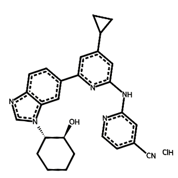 Cl.N#Cc1ccnc(Nc2cc(C3CC3)cc(-c3ccc4ncn([C@H]5CCCC[C@@H]5O)c4c3)n2)c1